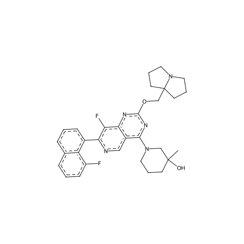 CC1(O)CCCN(c2nc(OCC34CCCN3CCC4)nc3c(F)c(-c4cccc5cccc(F)c45)ncc23)C1